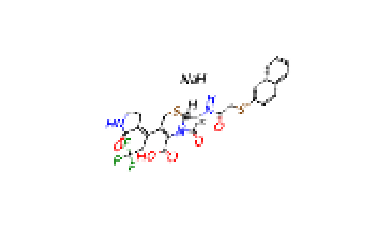 O=C(CSc1ccc2ccccc2c1)N[C@@H]1C(=O)N2C(C(=O)O)=C(C(CC(F)(F)F)=C3CCNC3=O)CS[C@H]12.[NaH]